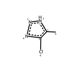 Cc1[nH]nnc1Cl